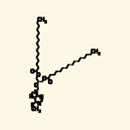 CCCCCCCCCCCCCCCC(=O)OCC(COC(=O)CCCCCCCCCCCCCCC)OCn1cnc2c(SC)ncnc21